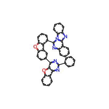 c1ccc(-c2nc(-c3ccc4oc5cccc(-c6nc7ccccc7c7nc8ccccc8n67)c5c4c3)c3oc4ccccc4c3n2)cc1